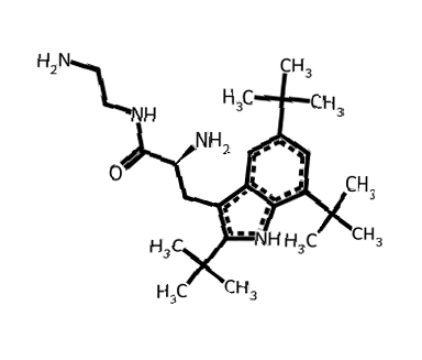 CC(C)(C)c1cc(C(C)(C)C)c2[nH]c(C(C)(C)C)c(C[C@H](N)C(=O)NCCN)c2c1